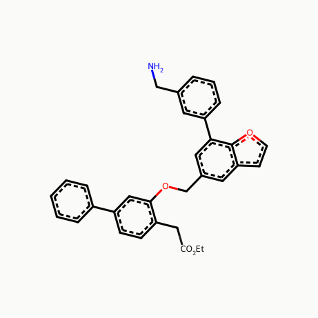 CCOC(=O)Cc1ccc(-c2ccccc2)cc1OCc1cc(-c2cccc(CN)c2)c2occc2c1